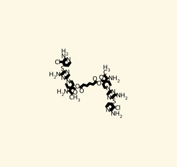 C[C@@H]1OC(OC(=O)CCCCC(=O)OC2O[C@@H](C)[C@@H](N)C23CCN(c2cnc(Sc4ccnc(N)c4Cl)c(N)n2)CC3)C2(CCN(c3cnc(Sc4ccnc(N)c4Cl)c(N)n3)CC2)[C@@H]1N